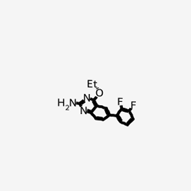 CCOc1nc(N)nc2ccc(-c3cccc(F)c3F)cc12